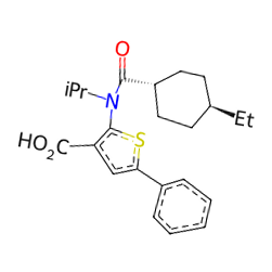 CC[C@H]1CC[C@H](C(=O)N(c2sc(-c3ccccc3)cc2C(=O)O)C(C)C)CC1